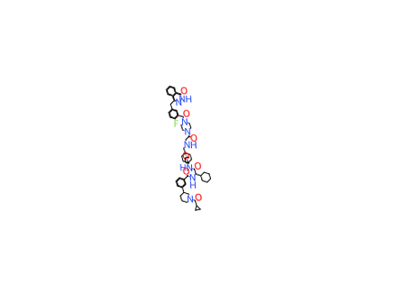 O=C(N[C@@H](C(=O)NC12CCC(CNCC(=O)N3CCN(C(=O)c4cc(Cc5n[nH]c(=O)c6ccccc56)ccc4F)CC3)(CC1)OC2)C1CCCCC1)c1cccc(C2CCCN(C(=O)C3CC3)C2)c1